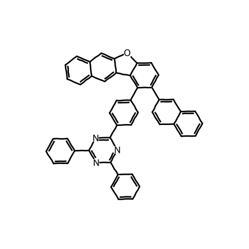 c1ccc(-c2nc(-c3ccccc3)nc(-c3ccc(-c4c(-c5ccc6ccccc6c5)ccc5oc6cc7ccccc7cc6c45)cc3)n2)cc1